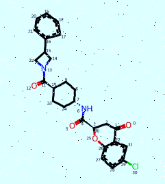 O=C1C[C@H](C(=O)N[C@H]2CC[C@H](C(=O)N3CC(c4ccccc4)C3)CC2)Oc2ccc(Cl)cc21